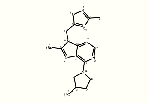 Cc1noc(Cn2c(C(C)(C)C)nc3c(N4CCC(O)C4)ncnc32)n1